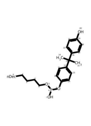 CCCCCCCCCCCCCCOP(O)Oc1ccc(C(C)(C)c2ccc(O)cc2)cc1